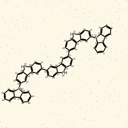 c1ccc2c(c1)c1ccccc1n2-c1ccc2[pH]c3ccc(-c4ccc5[pH]c6ccc(-c7ccc8[pH]c9ccc(-n%10c%11ccccc%11c%11ccccc%11%10)cc9c8c7)cc6c5c4)cc3c2c1